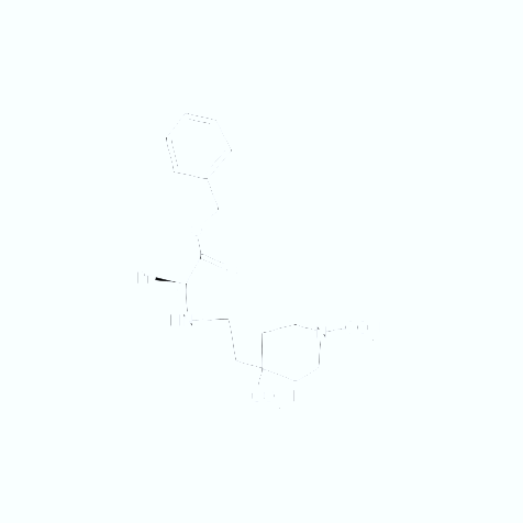 CC(C)[C@H](NCCC1(C(=O)O)CCN(C(=O)O)CC1)C(=O)OCc1ccccc1